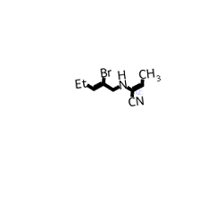 C/C=C(/C#N)NCC(Br)=CCC